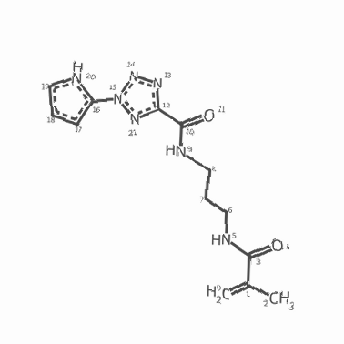 C=C(C)C(=O)NCCCNC(=O)c1nnn(-c2ccc[nH]2)n1